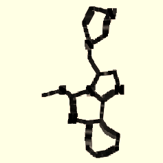 CSC1=Nc2ccccc2C2=NCC(Cn3ccnc3)N12